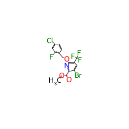 COC(=O)c1nc(OCc2ccc(Cl)cc2F)c(C(F)(F)F)cc1Br